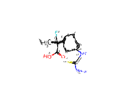 CC(F)(C(=O)O)c1cccc(NC(N)=S)c1